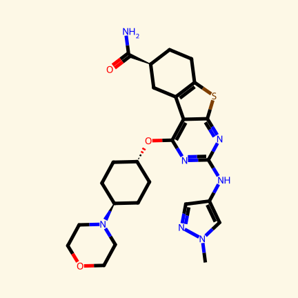 Cn1cc(Nc2nc(O[C@H]3CC[C@H](N4CCOCC4)CC3)c3c4c(sc3n2)CC[C@H](C(N)=O)C4)cn1